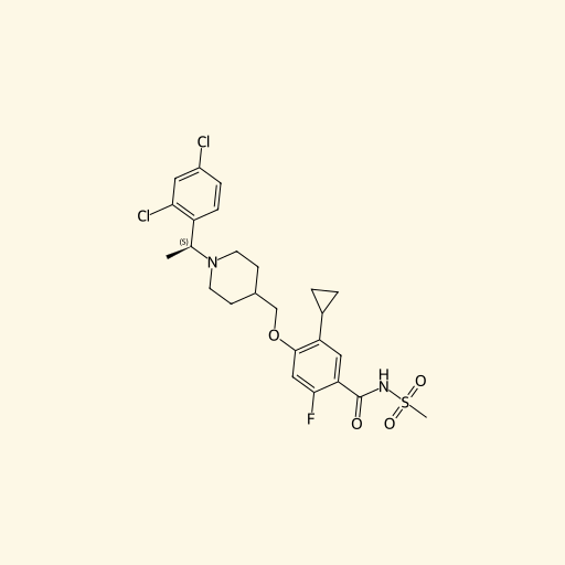 C[C@@H](c1ccc(Cl)cc1Cl)N1CCC(COc2cc(F)c(C(=O)NS(C)(=O)=O)cc2C2CC2)CC1